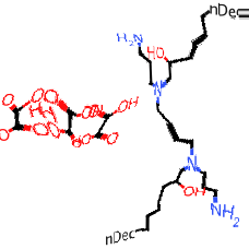 CCCCCCCCCCCCCCC(O)CN(C/C=C/CN(CCCN)CC(O)CCCCCCCCCCCCCC)CCCN.O=C(O)C(=O)O.O=C(O)C(=O)O.O=C(O)C(=O)O